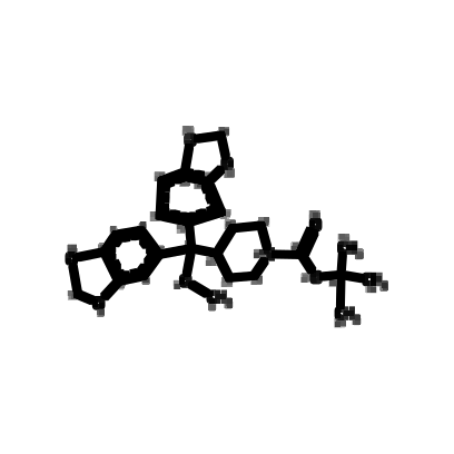 COC(c1ccc2c(c1)OCO2)(c1ccc2c(c1)OCO2)C1CCN(C(=O)OC(C)(C)C)CC1